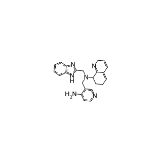 Nc1ccncc1CN(Cc1nc2ccccc2[nH]1)C1CCC=C2C=CCN=C21